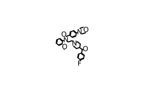 COc1ccccc1N(CCN1CCC(C(=O)c2ccc(F)cc2)CC1)C(=O)c1ccc(N2CCOCC2)cc1